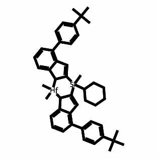 CC(C)(C)c1ccc(-c2cccc3c2C=C2[CH]3[Hf]([CH3])([CH3])[CH]3C(=Cc4c(-c5ccc(C(C)(C)C)cc5)cccc43)[Si]2(C)C2CCCCC2)cc1